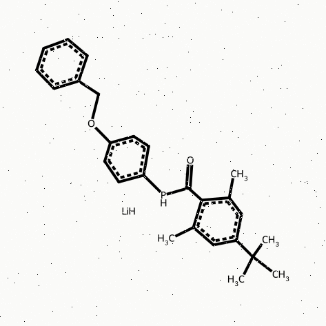 Cc1cc(C(C)(C)C)cc(C)c1C(=O)Pc1ccc(OCc2ccccc2)cc1.[LiH]